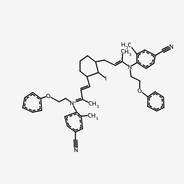 C/C(=C\CC1CCCC(/C=C/C(C)=[N+](\CCOc2ccccc2)c2ccc(C#N)cc2C)C1I)N(CCOc1ccccc1)c1ccc(C#N)cc1C